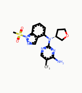 CS(=O)(=O)n1ncc2c(N(c3ncc(C(F)(F)F)c(N)n3)[C@@H]3CCOC3)cccc21